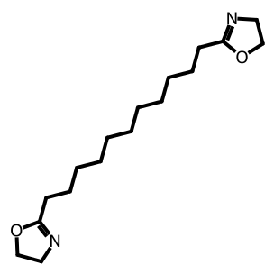 C(CCCCCC1=NCCO1)CCCCCC1=NCCO1